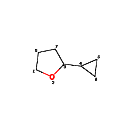 C1CO[C](C2CC2)C1